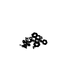 Cc1ccccc1[C@H](C(=O)NC1CCCCC1)N(C(=O)CNS(=O)(=O)N1C[C@@H]1C)c1cccc(F)c1